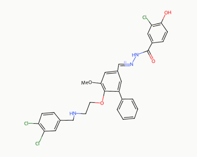 COc1cc(/C=N/NC(=O)c2ccc(O)c(Cl)c2)cc(-c2ccccc2)c1OCCNCc1ccc(Cl)c(Cl)c1